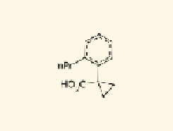 CCCc1ccccc1C1(C(=O)O)CC1